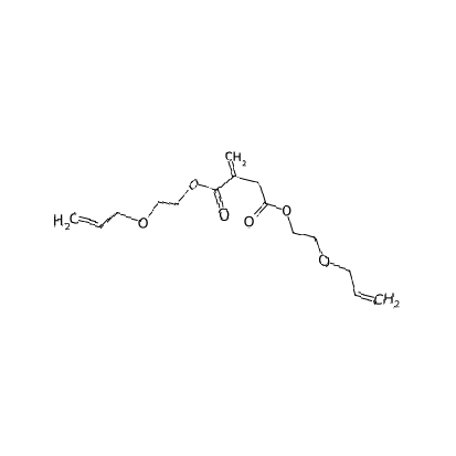 C=CCOCCOC(=O)CC(=C)C(=O)OCCOCC=C